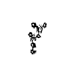 c1ccc(-c2ccc(-c3nc(-c4cccc(-c5nc(-c6ccccc6)nc(-c6ccccc6)n5)c4)c4sc5ccccc5c4n3)cc2)cc1